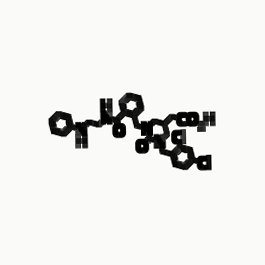 O=C(O)CC1CN(Cc2ccc(Cl)cc2Cl)C(=O)N(Cc2ccccc2C(=O)NCCNc2ccccc2)C1